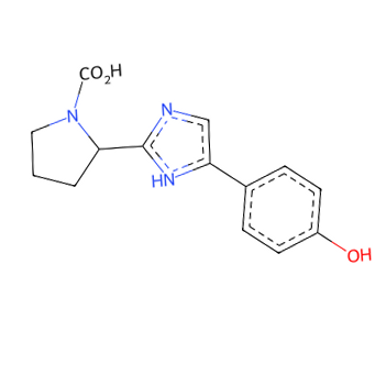 O=C(O)N1CCCC1c1ncc(-c2ccc(O)cc2)[nH]1